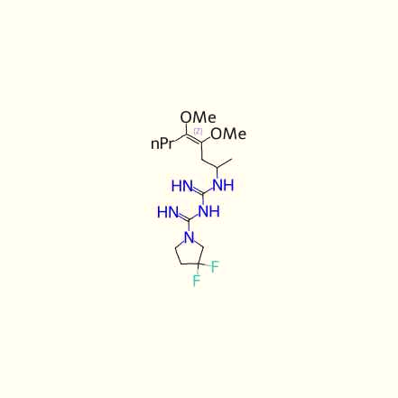 CCC/C(OC)=C(\CC(C)NC(=N)NC(=N)N1CCC(F)(F)C1)OC